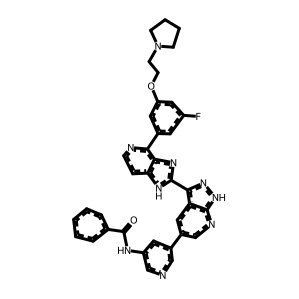 O=C(Nc1cncc(-c2cnc3[nH]nc(-c4nc5c(-c6cc(F)cc(OCCN7CCCC7)c6)nccc5[nH]4)c3c2)c1)c1ccccc1